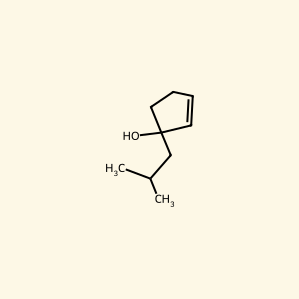 CC(C)CC1(O)C=CCC1